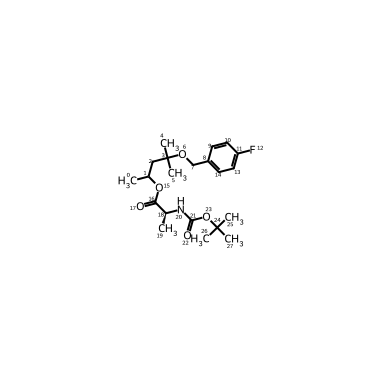 CC(CC(C)(C)OCc1ccc(F)cc1)OC(=O)[C@H](C)NC(=O)OC(C)(C)C